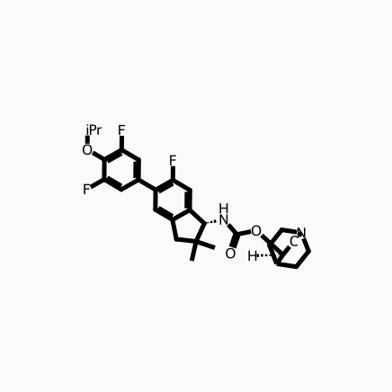 CC(C)Oc1c(F)cc(-c2cc3c(cc2F)[C@H](NC(=O)O[C@H]2CN4CCC2CC4)C(C)(C)C3)cc1F